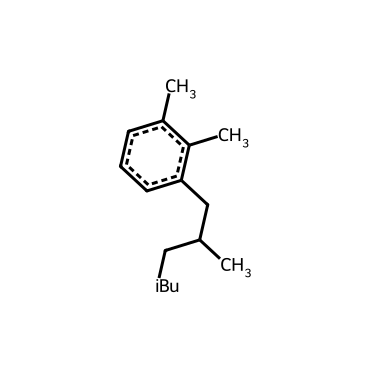 CCC(C)CC(C)Cc1cccc(C)c1C